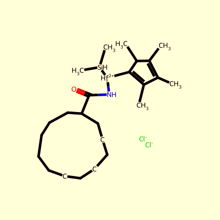 CC1=C(C)C(C)[C]([Hf+2]([NH]C(=O)C2CCCCCCCCCCC2)[SiH](C)C)=C1C.[Cl-].[Cl-]